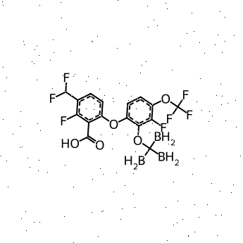 BC(B)(B)Oc1c(Oc2ccc(C(F)F)c(F)c2C(=O)O)ccc(OC(F)(F)F)c1F